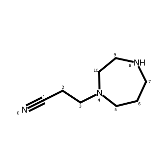 N#CCCN1CCCNCC1